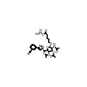 CC(=O)N[C@H]1C(OC(C)=O)[C@@H](OC(C)=O)C(Cn2cc(-c3cccc(C#N)c3)nn2)O[C@H]1OCCCCC(=O)ONS